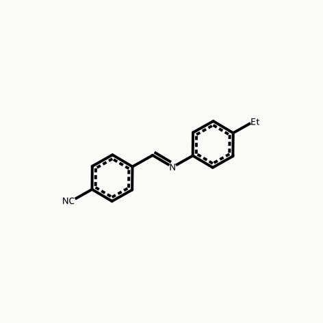 CCc1ccc(/N=C/c2ccc(C#N)cc2)cc1